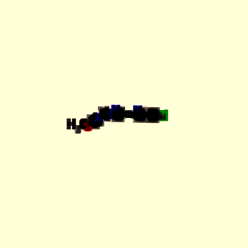 COC1CCN(C2CCN(c3ccc(C#Cc4ccc(-c5ccc(Cl)cc5)cn4)cn3)C2)CC1